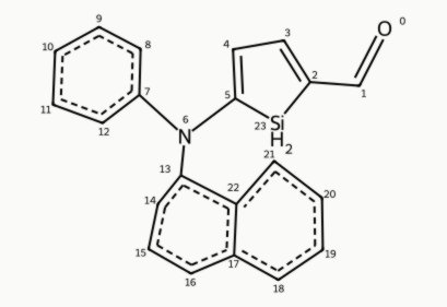 O=CC1=CC=C(N(c2ccccc2)c2cccc3ccccc23)[SiH2]1